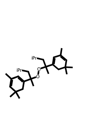 CC1=CC(C)(C)CC(C(C)(CC(C)C)OOC(C)(CC(C)C)C2=CC(C)=CC(C)(C)C2)=C1